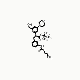 C=CCOC(=O)Nc1cccc(CN(C(=O)OC(C)(C)C)c2cc(N3CCOCC3)cc(CO)n2)c1